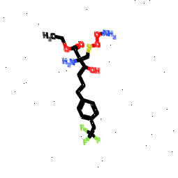 CCOC(=O)C(N)(CSOON)C(O)CCCc1ccc(CC(F)(F)F)cc1